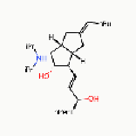 CC(C)NC(C)C.CCCCC=C1C[C@H]2C[C@@H](O)[C@H](C=C[C@@H](O)CCCCC)[C@H]2C1